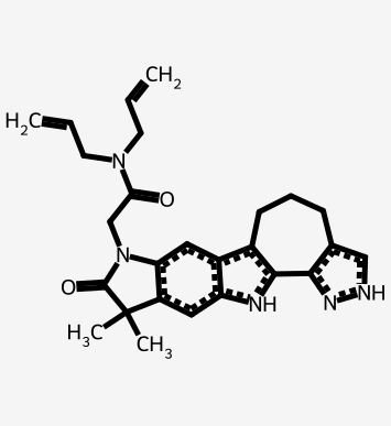 C=CCN(CC=C)C(=O)CN1C(=O)C(C)(C)c2cc3[nH]c4c(c3cc21)CCCc1c[nH]nc1-4